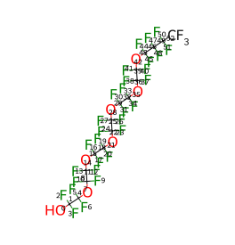 OC(F)(F)C(F)(F)OC(F)(F)C(F)(F)OC(F)(F)C(F)(F)OC(F)(F)C(F)(F)OC(F)(F)C(F)(F)OC(F)(F)C(F)(F)OC(F)(F)C(F)(F)C(F)(F)C(F)(F)F